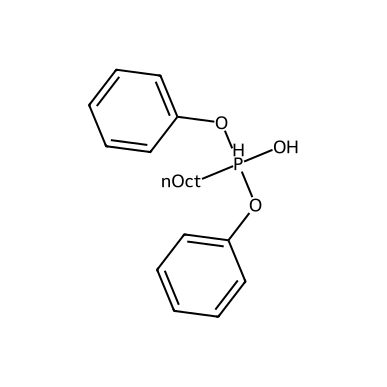 CCCCCCCC[PH](O)(Oc1ccccc1)Oc1ccccc1